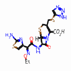 CCON=C(C(=O)NC1C(=O)N2C(C(=O)O)=C(CSc3cnn[nH]3)CS[C@@H]12)c1csc(N)n1